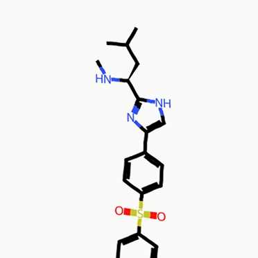 CN[C@@H](CC(C)C)c1nc(-c2ccc(S(=O)(=O)c3ccccc3)cc2)c[nH]1